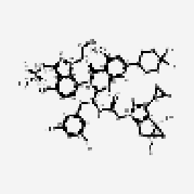 Cc1cc(C2CCC(F)(F)CC2)nc2nc([C@H](Cc3cc(F)cc(F)c3)NC(=O)Cn3nc(C4CC4)c4c3C[C@@H]3C[C@H]43)n(-c3ccc(Cl)c4c(NS(C)(=O)=O)nn(CCBr)c34)c(=O)c12